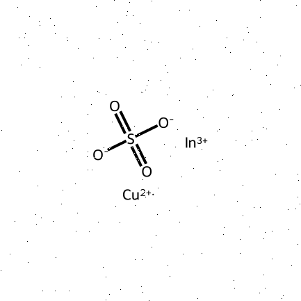 O=S(=O)([O-])[O-].[Cu+2].[In+3]